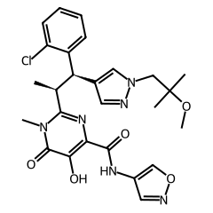 COC(C)(C)Cn1cc([C@H](c2ccccc2Cl)[C@H](C)c2nc(C(=O)Nc3cnoc3)c(O)c(=O)n2C)cn1